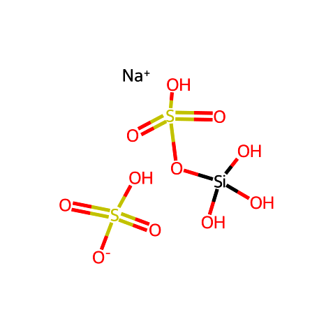 O=S(=O)(O)O[Si](O)(O)O.O=S(=O)([O-])O.[Na+]